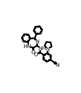 N#Cc1ccc(C(=O)NC2N=C(c3ccccc3)c3ccccc3NC2=O)c(N2CCCC2)c1